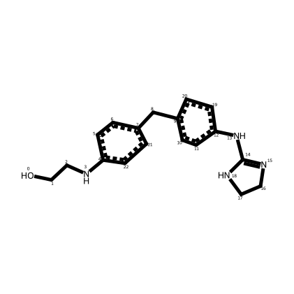 OCCNc1ccc(Cc2ccc(NC3=NCCN3)cc2)cc1